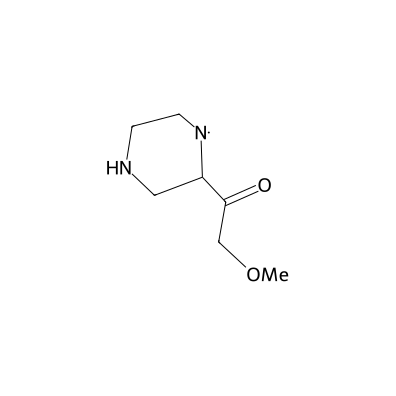 COCC(=O)C1CNCC[N]1